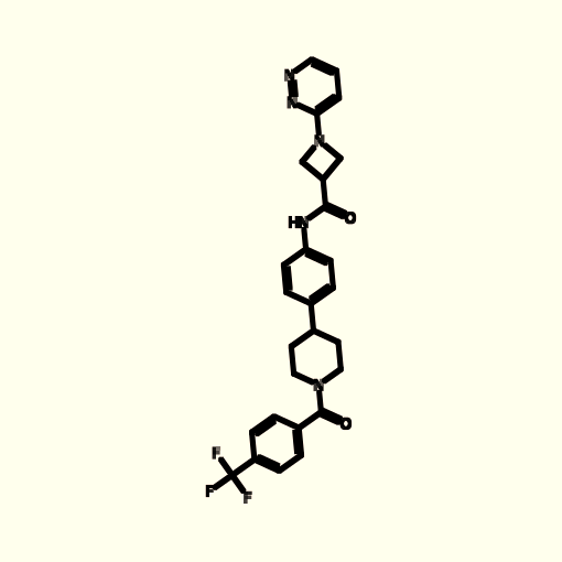 O=C(Nc1ccc(C2CCN(C(=O)c3ccc(C(F)(F)F)cc3)CC2)cc1)C1CN(c2cccnn2)C1